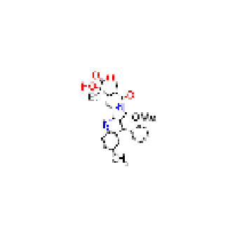 C=C1C=Cc2nc3c(c(-c4ccccc4OC)c2C1)Cn1c-3cc2c(c1=O)COC(=O)C2(O)CC